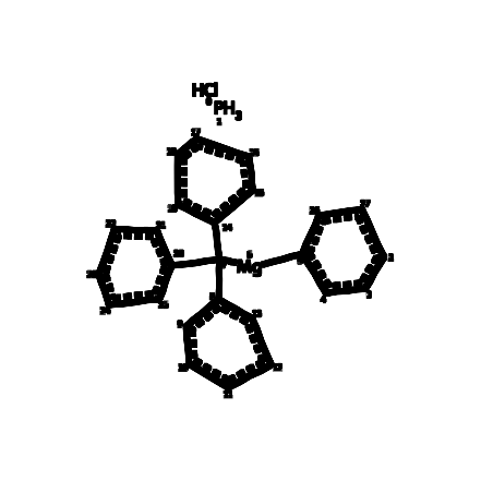 Cl.P.c1cc[c]([Mg][C](c2ccccc2)(c2ccccc2)c2ccccc2)cc1